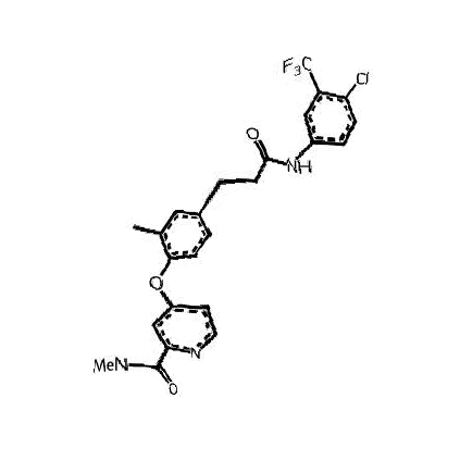 CNC(=O)c1cc(Oc2ccc(CCC(=O)Nc3ccc(Cl)c(C(F)(F)F)c3)cc2C)ccn1